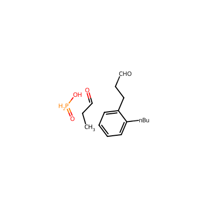 CCC=O.CCCCc1ccccc1CCC=O.O=[PH2]O